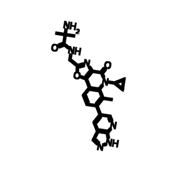 Cc1c(-c2cnc3[nH]ncc3c2)ccc2c3oc(CNC(=O)C(C)(C)N)nc3c(=O)n(C3CC3)c12